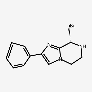 CCCC[C@@H]1NCCn2cc(-c3ccccc3)nc21